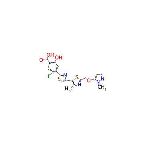 Cc1nc(COc2ccnn2C)sc1-c1csc(-c2cc(O)c(C(=O)O)cc2F)n1